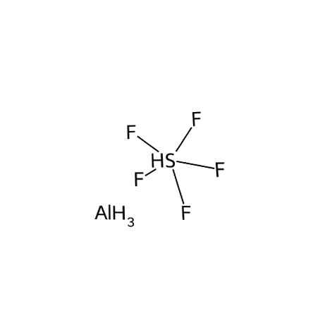 F[SH](F)(F)(F)F.[AlH3]